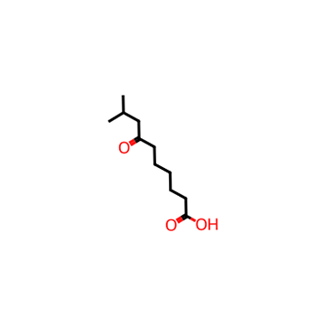 CC(C)CC(=O)CCCCCC(=O)O